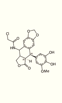 COc1cc([C@@H]2c3cc4c(cc3C(NC(=O)CCl)C3COC(=O)[C@@H]32)OCO4)cc(O)c1O